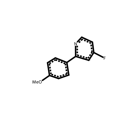 COc1ccc(-c2[c]c(F)ccn2)cc1